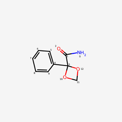 NC(=O)C1(c2ccccc2)OCO1